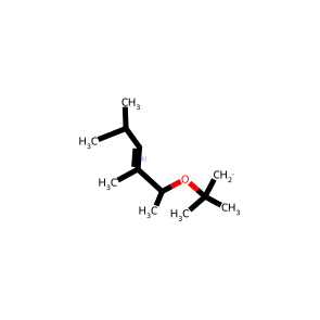 [CH2]C(C)(C)OC(C)/C(C)=C/C(C)C